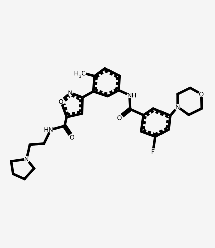 Cc1ccc(NC(=O)c2cc(F)cc(N3CCOCC3)c2)cc1-c1cc(C(=O)NCCN2CCCC2)on1